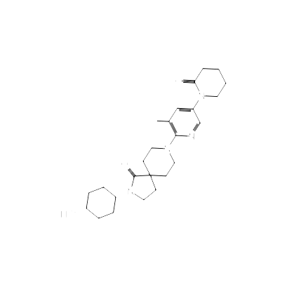 Cc1cc(N2CCCCC2=O)cnc1N1CCC2(CC1)CCN([C@H]1CC[C@@H](O)CC1)C2=O